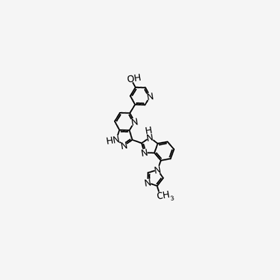 Cc1cn(-c2cccc3[nH]c(-c4n[nH]c5ccc(-c6cncc(O)c6)nc45)nc23)cn1